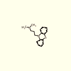 CN(C)CCCN1c2c[c]ccc2Sc2ccccc21